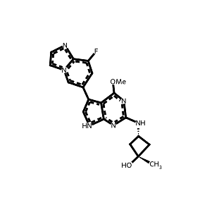 COc1nc(N[C@H]2C[C@@](C)(O)C2)nc2[nH]cc(-c3cc(F)c4nccn4c3)c12